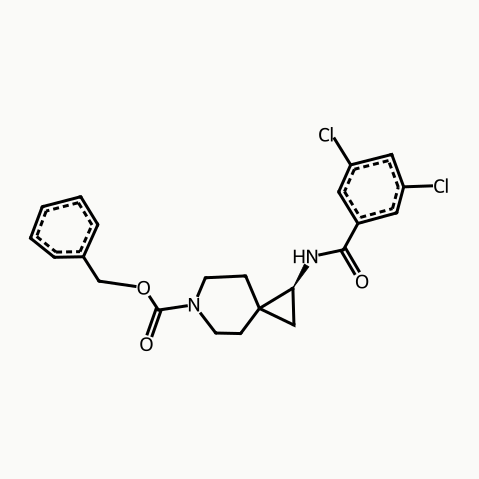 O=C(N[C@H]1CC12CCN(C(=O)OCc1ccccc1)CC2)c1cc(Cl)cc(Cl)c1